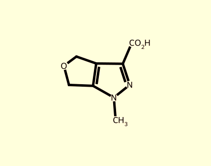 Cn1nc(C(=O)O)c2c1COC2